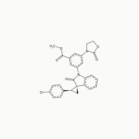 COC(=O)c1cc(N2CCOC2=O)cc(N2C(=O)[C@]3(C[C@H]3c3ccc(Cl)cc3)c3ccccc32)c1